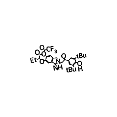 CCC(Oc1ccc2c(c1)C(=N)N(CC(=O)c1cc(C(C)(C)C)c(O)c(C(C)(C)C)c1)C2)C(=O)OC(=O)C(F)(F)F